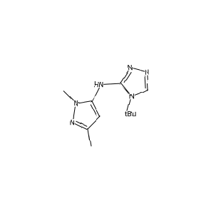 Cc1cc(Nc2nncn2C(C)(C)C)n(C)n1